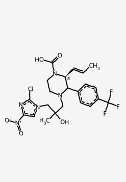 CC=C[C@H]1C(c2ccc(C(F)(F)F)cc2)N(CC(C)(O)Cn2cc([N+](=O)[O-])nc2Cl)CCN1C(=O)O